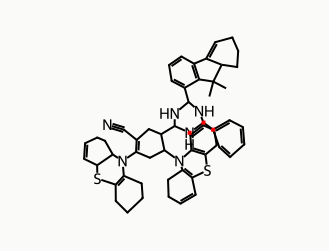 CC1(C)c2c(cccc2C2NC(c3ccccc3)NC(C3CC(C#N)=C(N4C5=C(CCCC5)SC5C=CCCC54)CC3N3C4=C(CCC=C4)SC4=C3CCC=C4)N2)C2=CCCCC21